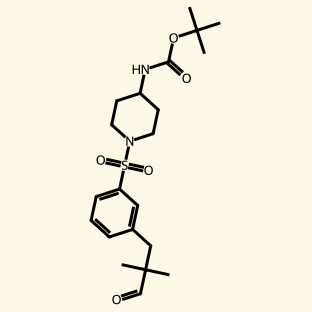 CC(C)(C=O)Cc1cccc(S(=O)(=O)N2CCC(NC(=O)OC(C)(C)C)CC2)c1